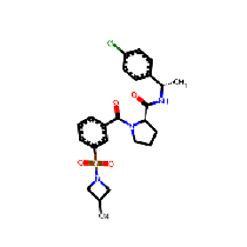 C[C@H](NC(=O)[C@H]1CCCN1C(=O)c1cccc(S(=O)(=O)N2CC(C#N)C2)c1)c1ccc(Cl)cc1